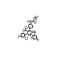 COC(=O)C1=C(c2ccc(NC(=O)OC(C)(C)C)cc2)NC(c2ncc(F)cc2F)=NC1c1ccc(F)cc1Cl